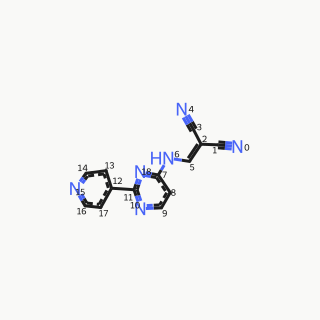 N#CC(C#N)=CNc1ccnc(-c2ccncc2)n1